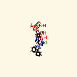 O=P(O)(O)CP(=O)(O)OC[C@H]1O[C@@H](n2cnc3c(N4CC(c5ccccc5)C5(CCCCC5)C4)nc(Cl)nc32)[C@@H](O)C1O